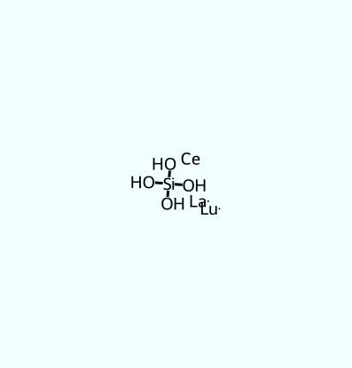 O[Si](O)(O)O.[Ce].[La].[Lu]